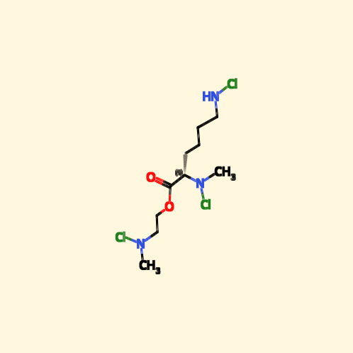 CN(Cl)CCOC(=O)[C@H](CCCCNCl)N(C)Cl